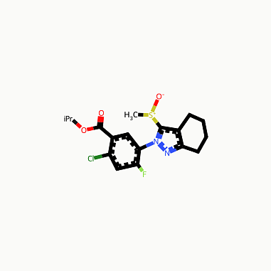 CC(C)OC(=O)c1cc(-n2nc3c(c2[S+](C)[O-])CCCC3)c(F)cc1Cl